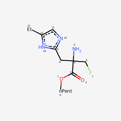 CCCCCOC(=O)C(N)(CF)Cc1ncc(CC)[nH]1